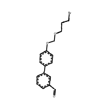 O=Cc1cccc(-c2ccc(OCOCCCBr)cc2)c1